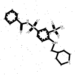 O=C(NS(=O)(=O)c1ccc(NCC2CCOCC2)c(S(=O)(=O)C(F)(F)F)c1)c1ccccc1